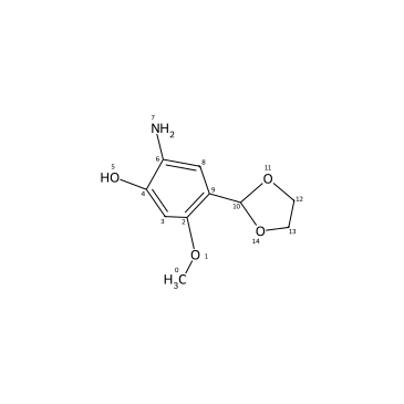 COc1cc(O)c(N)cc1C1OCCO1